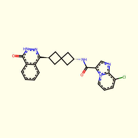 O=C(N[C@H]1CC2(C1)C[C@H](c1n[nH]c(=O)c3ccccc31)C2)c1cnc2c(Cl)cccn12